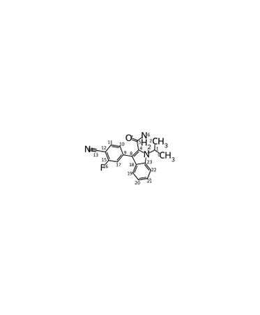 CC(C)n1c(C(N)=O)c(-c2ccc(C#N)c(F)c2)c2cc[c]cc21